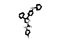 O=C(Nc1ccc(F)cc1)N1CC(c2ccccc2)C(c2ccc(Nc3ccccc3)cc2)=N1